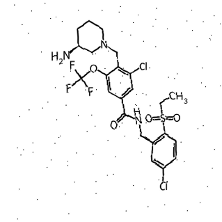 CCS(=O)(=O)c1ccc(Cl)cc1CNC(=O)c1cc(Cl)c(CN2CCC[C@H](N)C2)c(OC(F)(F)F)c1